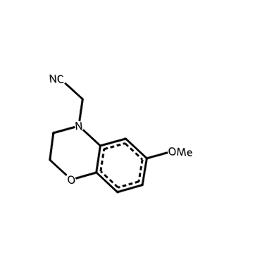 COc1ccc2c(c1)N(CC#N)CCO2